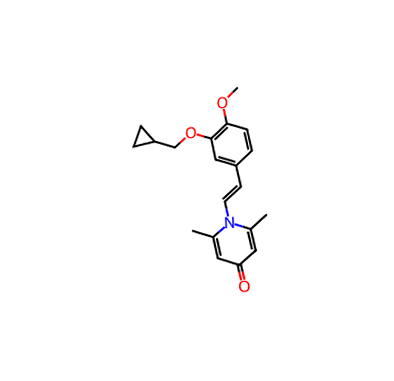 COc1ccc(C=Cn2c(C)cc(=O)cc2C)cc1OCC1CC1